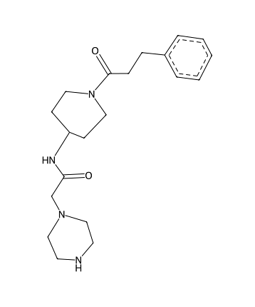 O=C(CN1CCNCC1)NC1CCN(C(=O)CCc2ccccc2)CC1